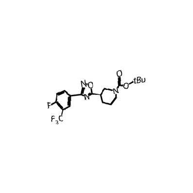 CC(C)(C)OC(=O)N1CCC[C@@H](c2nc(-c3ccc(F)c(C(F)(F)F)c3)no2)C1